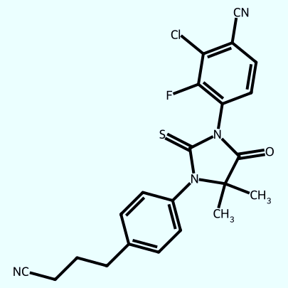 CC1(C)C(=O)N(c2ccc(C#N)c(Cl)c2F)C(=S)N1c1ccc(CCCC#N)cc1